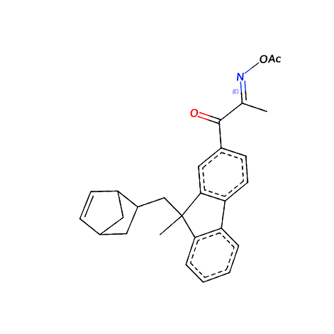 CC(=O)O/N=C(\C)C(=O)c1ccc2c(c1)C(C)(CC1CC3C=CC1C3)c1ccccc1-2